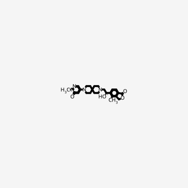 Cc1c([C@@H](O)CN2CCC3(CC2)CCN(c2cnn(C)c(=O)c2)CC3)ccc2c1COC2=O